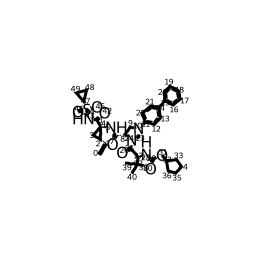 C=C[C@@H]1C[C@]1(NC(=O)[C@@H]1CN(c2ccc(-c3ccccc3)cc2)CN1C(=O)[C@@H](NC(=O)OC1CCCC1)C(C)(C)C)C(=O)NS(=O)(=O)C1CC1